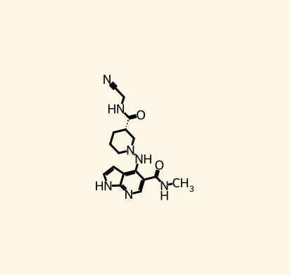 CNC(=O)c1cnc2[nH]ccc2c1NN1CCC[C@H](C(=O)NCC#N)C1